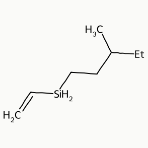 C=C[SiH2]CCC(C)CC